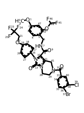 COc1ccc(CNC(=O)c2c3n(c(=O)n2-c2ccc(OCC(F)(F)F)cc2)CCN(C(=O)c2ccc(Br)c(Cl)c2)C3)c(OC(F)F)c1